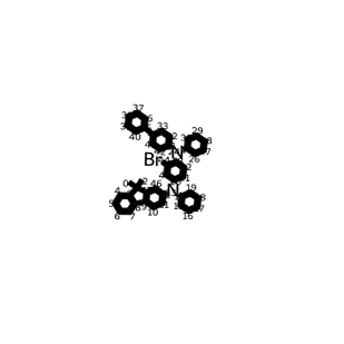 CC1(C)c2ccccc2-c2ccc(N(c3ccccc3)c3ccc(N(c4ccccc4)c4ccc(-c5ccccc5)cc4)c(Br)c3)cc21